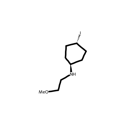 COCCN[C@H]1CC[C@H](I)CC1